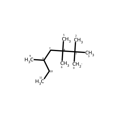 [CH2]C(C)(C)C(C)(C)CC(C)CC